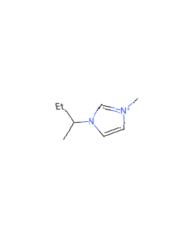 CCC(C)n1cc[n+](C)c1